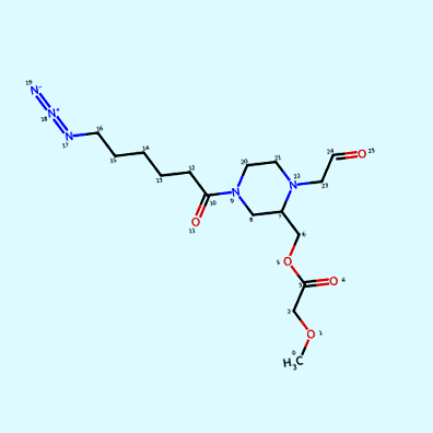 COCC(=O)OCC1CN(C(=O)CCCCCN=[N+]=[N-])CCN1CC=O